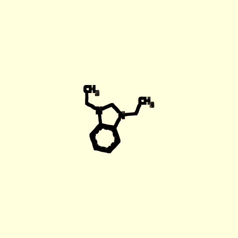 CCN1CN(CC)c2ccccc21